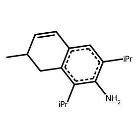 CC1C=Cc2cc(C(C)C)c(N)c(C(C)C)c2C1